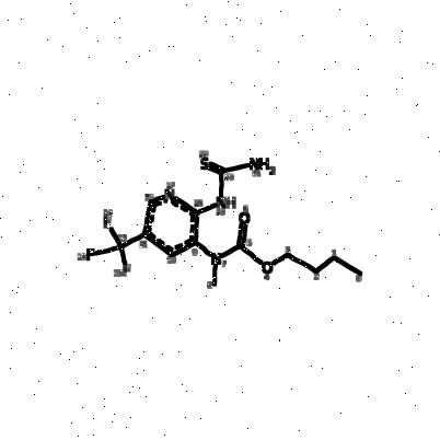 CCCCOC(=O)N(C)c1cc(C(F)(F)F)cnc1NC(N)=S